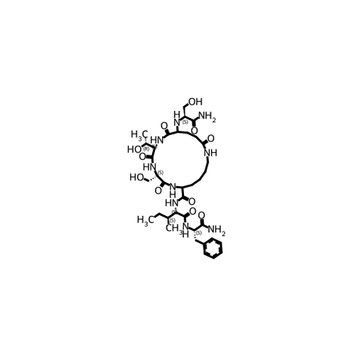 CC[C@H](C)[C@H](NC(=O)C1CCCCNC(=O)CCC(N[C@@H](CO)C(N)=O)C(=O)N[C@@H]([C@@H](C)O)C(=O)N[C@@H](CO)C(=O)N1)C(=O)N[C@@H](Cc1ccccc1)C(N)=O